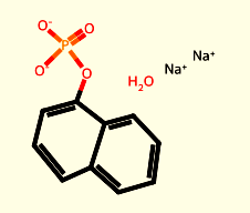 O.O=P([O-])([O-])Oc1cccc2ccccc12.[Na+].[Na+]